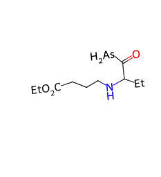 CCOC(=O)CCCNC(CC)C(=O)[AsH2]